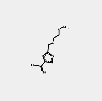 N=C(N)c1csc(COCCON)c1